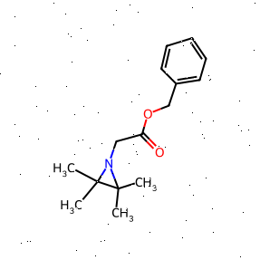 CC1(C)N(CC(=O)OCc2ccccc2)C1(C)C